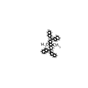 Cc1c2c(c(C)c3cc(N(c4ccc5c(c4)C=CCC5)c4ccc5ccccc5c4)ccc13)=CCC(N(c1ccc3ccccc3c1)c1ccc3ccccc3c1)C=2